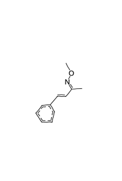 CON=C(C)C=Cc1ccccc1